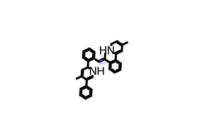 CC1=CCNC(c2ccccc2/C(C)=C/c2ccccc2C2C=C(C)C(c3ccccc3)=CN2)=C1